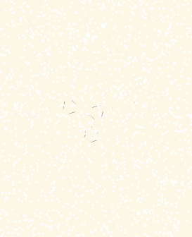 O=CC1CCN(c2ccc([C@@H]3c4ccc(O)cc4CC[C@@H]3c3ccccn3)cc2)CC1